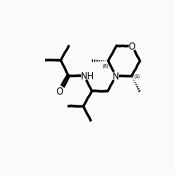 CC(C)C(=O)NC(CN1[C@H](C)COC[C@@H]1C)C(C)C